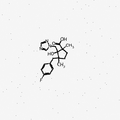 CC1(Cc2ccc(F)cc2)CCC(C)(C(=O)O)C1(O)Cn1cncn1